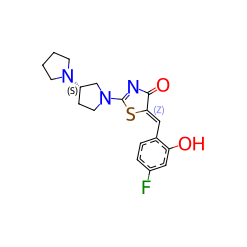 O=C1N=C(N2CC[C@H](N3CCCC3)C2)S/C1=C\c1ccc(F)cc1O